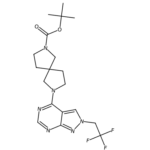 CC(C)(C)OC(=O)N1CCC2(CCN(c3ncnc4nn(CC(F)(F)F)cc34)C2)C1